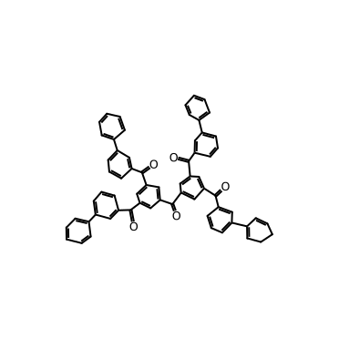 O=C(c1cc(C(=O)c2cccc(C3=CCCC=C3)c2)cc(C(=O)c2cccc(-c3ccccc3)c2)c1)c1cc(C(=O)c2cccc(-c3ccccc3)c2)cc(C(=O)c2cccc(-c3ccccc3)c2)c1